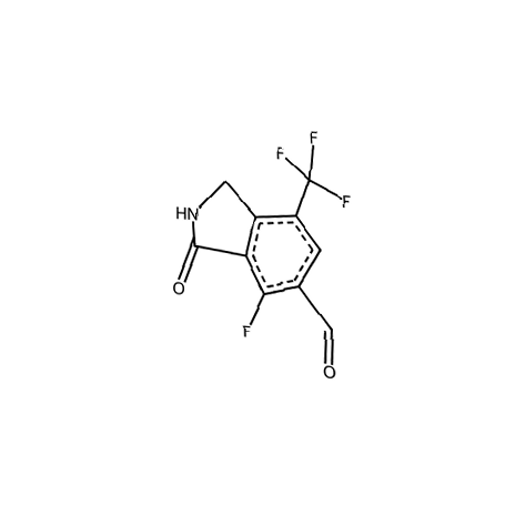 O=Cc1cc(C(F)(F)F)c2c(c1F)C(=O)NC2